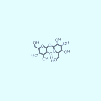 OC[C@H]1OC(OC2O[C@H](CO)[C@@H](O)[C@H](O)[C@@H]2O)[C@@H](O)[C@@H](O)[C@@H]1O